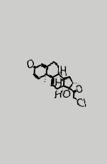 C[C@H]1C[C@H]2[C@@H]3CCC4=CC(=O)C=C[C@]4(C)C3=CC[C@]2(C)[C@@]1(O)C(=O)CCl